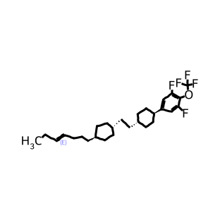 CC/C=C/CCC[C@H]1CC[C@H](CC[C@H]2CC[C@H](c3cc(F)c(OC(F)(F)F)c(F)c3)CC2)CC1